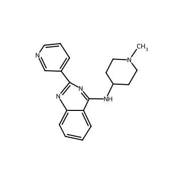 CN1CCC(Nc2nc(-c3cccnc3)nc3ccccc23)CC1